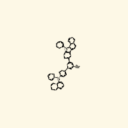 Brc1cc(-c2ccc(N(c3ccccc3)c3cccc4ccccc34)cc2)cc(-c2ccc3c(c2)c2ccc4ccccc4c2n3-c2ccccc2)c1